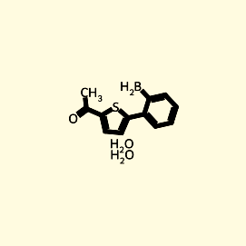 Bc1ccccc1-c1ccc(C(C)=O)s1.O.O